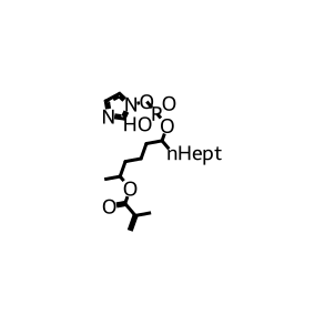 C=C(C)C(=O)OC(C)CCCC(CCCCCCC)OP(=O)(O)On1ccnc1